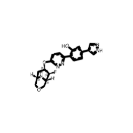 Oc1cc(-c2cn[nH]c2)ccc1-c1ccc(O[C@@H]2C[C@H]3COC[C@H](N3)[C@@H]2F)nn1